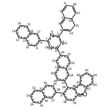 C1=CC2=CC(c3nc(-c4ccc5ccccc5c4)nc(-c4ccc5cc(-c6c(-c7ccc8ccccc8c7)ccc7oc8ccccc8c67)ccc5c4)n3)=CCC2C=C1